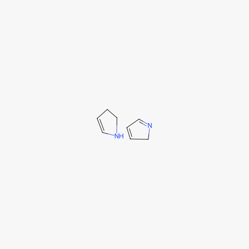 C1=CCN=C1.C1=CNCC1